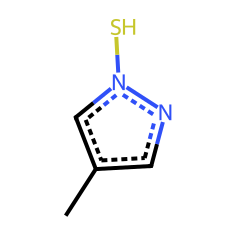 Cc1cnn(S)c1